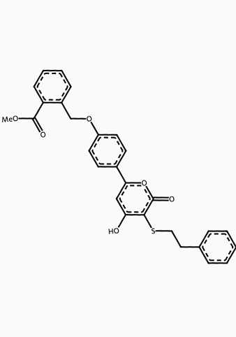 COC(=O)c1ccccc1COc1ccc(-c2cc(O)c(SCCc3ccccc3)c(=O)o2)cc1